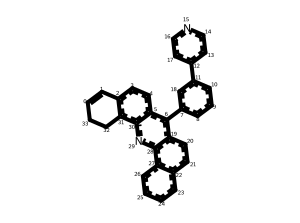 C1=Cc2ccc3c(-c4cccc(-c5ccncc5)c4)c4ccc5ccccc5c4nc3c2CC1